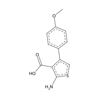 COc1ccc(-c2csc(N)c2C(=O)O)cc1